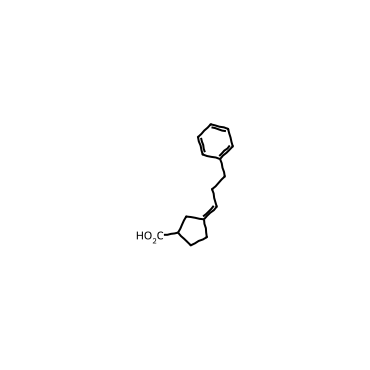 O=C(O)C1CCC(=CCCc2ccccc2)C1